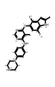 Cc1cc2c(F)c(Oc3ncnc(Nc4ccc(N5CCNCC5)cc4)c3C)cc(F)c2[nH]1